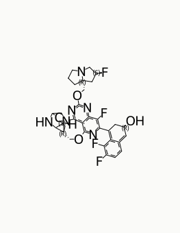 O[C@H]1C=c2ccc(F)c(F)c2=C(c2nc3c4c(nc(OC[C@]56CCCN5C[C@@H](F)C6)nc4c2F)N2CC4C[C@H]5C(N4)[C@@]52CO3)C1